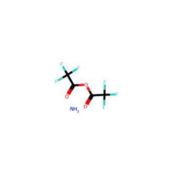 N.O=C(OC(=O)C(F)(F)F)C(F)(F)F